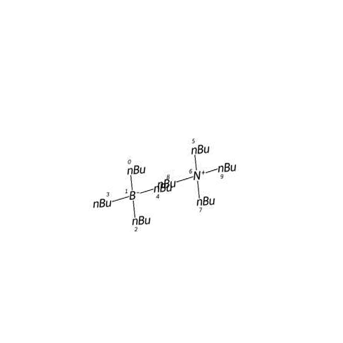 CCCC[B-](CCCC)(CCCC)CCCC.CCCC[N+](CCCC)(CCCC)CCCC